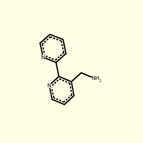 NCc1cccnc1-c1ccccn1